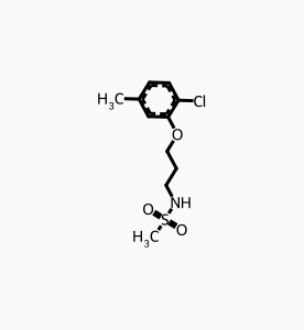 Cc1ccc(Cl)c(OCCCNS(C)(=O)=O)c1